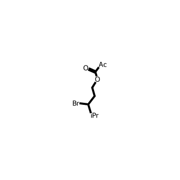 CC(=O)C(=O)OCCC(Br)C(C)C